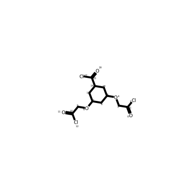 O=C(Cl)COC1CC(OCC(=O)Cl)CC(C(=O)Cl)C1